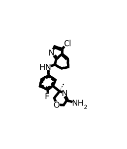 C[C@@]1(c2cc(NC3CCC=C4C(Cl)=CN=C43)ccc2F)COCC(N)=N1